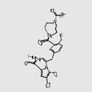 CC(C)C(=O)N1CCN(C(=O)c2cc(Cc3c[nH]c(=O)c4cc(Cl)c(Cl)n34)ccc2F)CC1